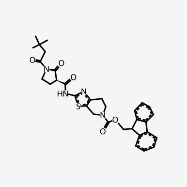 CC(C)(C)CC(=O)N1CC[C@H](C(=O)Nc2nc3c(s2)CN(C(=O)OCC2c4ccccc4-c4ccccc42)CC3)C1=O